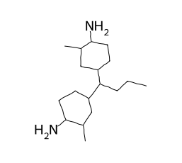 CCCC(C1CCC(N)C(C)C1)C1CCC(N)C(C)C1